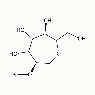 CC(C)O[C@@H]1COC(CO)[C@H](O)C(O)C1O